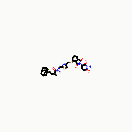 CC(CCC12CC3CC(CC(C3)C1)C2)C(=O)N(I)Cc1nc(CSc2cccc3c2C(=O)N(C2CCC(=O)NC2=O)C3=O)cs1